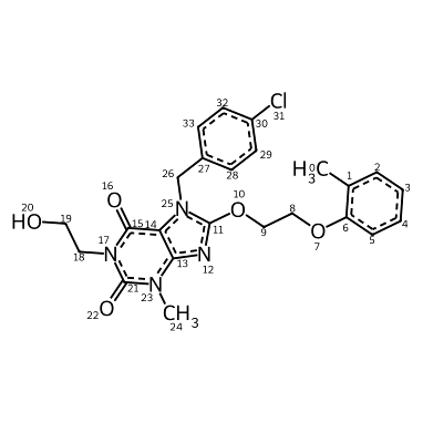 Cc1ccccc1OCCOc1nc2c(c(=O)n(CCO)c(=O)n2C)n1Cc1ccc(Cl)cc1